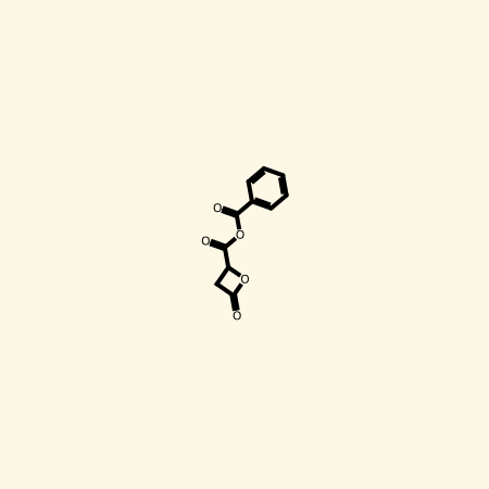 O=C1CC(C(=O)OC(=O)c2ccccc2)O1